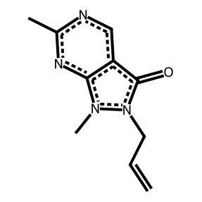 C=CCn1c(=O)c2cnc(C)nc2n1C